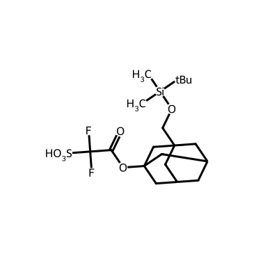 CC(C)(C)[Si](C)(C)OCC12CC3CC(C1)CC(OC(=O)C(F)(F)S(=O)(=O)O)(C3)C2